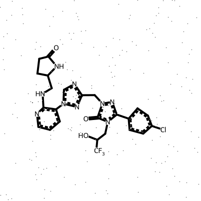 O=C1CCC(CNc2ncccc2-n2cnc(Cn3nc(-c4ccc(Cl)cc4)n(CC(O)C(F)(F)F)c3=O)n2)N1